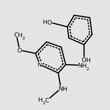 CNc1nc(OC)ccc1N.Oc1cccc(O)c1